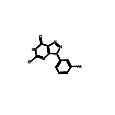 CCc1nc2c(nnn2-c2cccc(C(C)=O)c2)c(=O)[nH]1